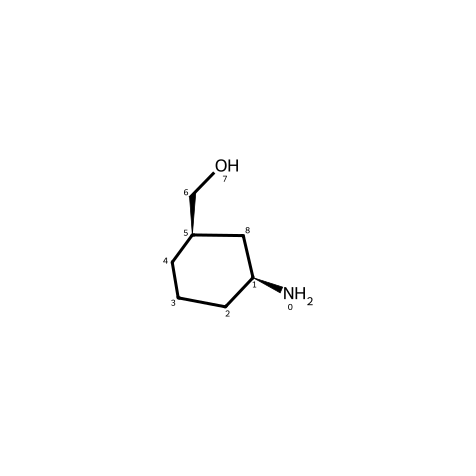 N[C@H]1CCC[C@@H](CO)C1